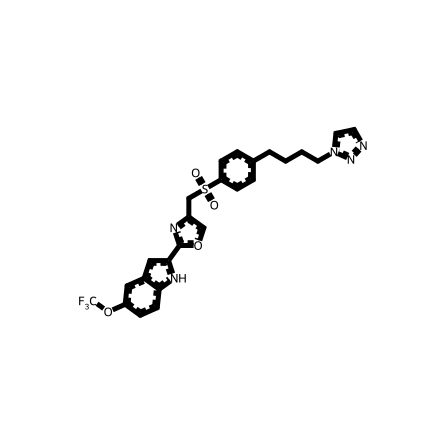 O=S(=O)(Cc1coc(-c2cc3cc(OC(F)(F)F)ccc3[nH]2)n1)c1ccc(CCCCn2ccnn2)cc1